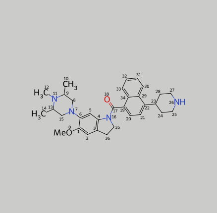 COc1cc2c(cc1N1CC(C)N(C)C(C)C1)N(C(=O)c1ccc(C3CCNCC3)c3ccccc13)CC2